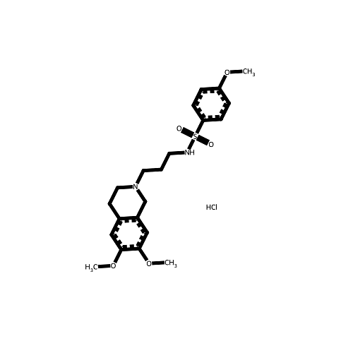 COc1ccc(S(=O)(=O)NCCCN2CCc3cc(OC)c(OC)cc3C2)cc1.Cl